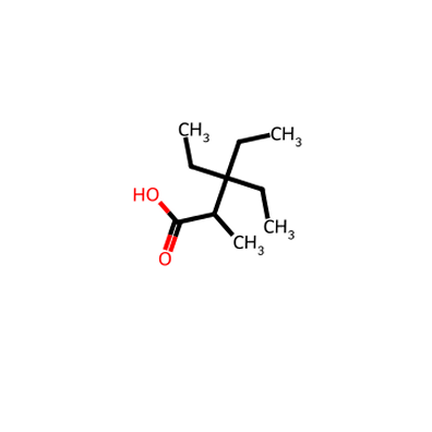 CCC(CC)(CC)C(C)C(=O)O